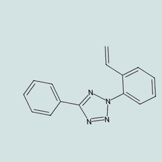 C=Cc1ccccc1-n1nnc(-c2ccccc2)n1